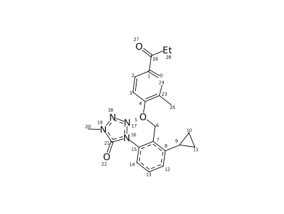 C=C(/C=C\C(OCc1c(C2CC2)cccc1-n1nnn(C)c1=O)=C(C)C)C(=O)CC